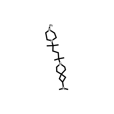 CC(C)N1CCN(C(C)(C)CCC(C)(C)N2CCC3(CC2)CC(N(C)C)C3)CC1